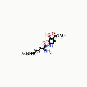 COC(=O)c1ccc(NC(=O)[C@@H](N)CCCCNC(C)=O)cc1O